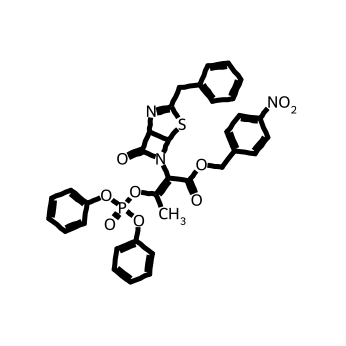 CC(OP(=O)(Oc1ccccc1)Oc1ccccc1)=C(C(=O)OCc1ccc([N+](=O)[O-])cc1)N1C(=O)C2N=C(Cc3ccccc3)SC21